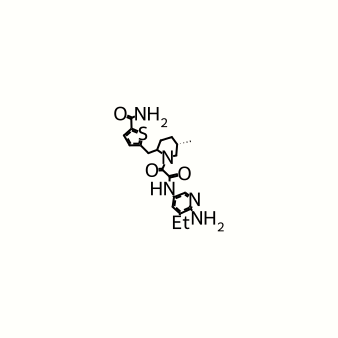 CCc1cc(NC(=O)C(=O)N2C[C@@H](C)CCC2Cc2ccc(C(N)=O)s2)cnc1N